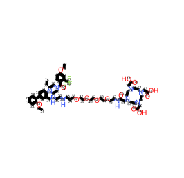 CCOc1ccc(C(=O)N2CCN(c3ccc(-c4ccccc4OCC)cc3CNCCNCCCOCCOCCOCCOCCNC(=O)CN3CCN(CC(=O)O)CCN(CC(=O)O)CCN(CC(=O)O)CC3)[C@H](CC)C2)c(C(F)(F)F)c1